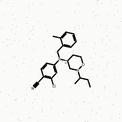 CCC(C)N1C[C@@H](N(Cc2ccccc2C)c2ccc(C#N)c(Cl)c2)CCO1